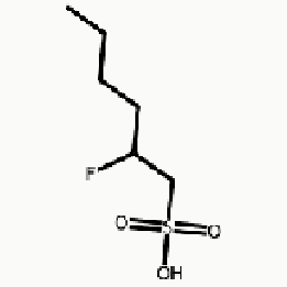 CCCCC(F)CS(=O)(=O)O